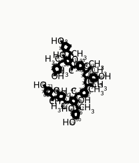 CC(c1cc(C(C)c2ccc(O)cc2)c(O)c(C(C)c2ccc(O)cc2)c1)c1cc(C(CC(CC(c2ccc(O)c(C(C)c3cc(C(C)c4ccc(O)cc4)c(O)c(C(C)c4ccc(O)c(C(C)c5ccc(O)cc5)c4)c3)c2)C(C)(C)C)c2ccc(O)cc2)CC(C)(C)C)ccc1O